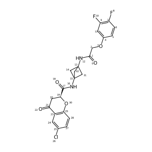 O=C(COc1ccc(F)c(F)c1)NC12CC(NC(=O)[C@@H]3CC(=O)c4cc(Cl)ccc4O3)(C1)C2